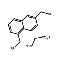 CCCCCCCCCCCC(=O)O.NCc1ccc2c(CN)cccc2c1